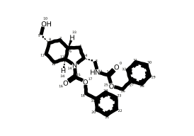 O=C(NC[C@H]1C[C@H]2C[C@@H](CO)CC[C@@H]2N1C(=O)OCc1ccccc1)OCc1ccccc1